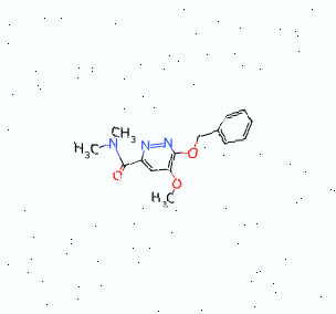 COc1cc(C(=O)N(C)C)nnc1OCc1ccccc1